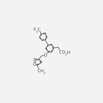 Cc1cc(COc2cc(CC(=O)O)cc(-c3ccc(C(F)(F)F)cc3)c2)no1